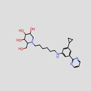 OCC1C(O)C(O)C(O)CN1CCCCCCNc1cc(-c2ncccn2)cc(C2CC2)c1